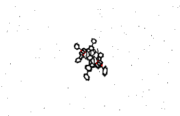 N#Cc1c(-n2c3ccccc3c3ccccc32)c(-n2c3ccc(-c4ccccc4)cc3c3cc(-c4ccccc4)ccc32)cc(-n2c3ccccc3c3ccccc32)c1-n1c2ccc(-c3ccccc3)cc2c2cc(-c3ccccc3)ccc21